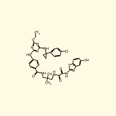 CC(C)(CNC(=O)C(=O)Nc1nc2cc(O)ccc2s1)CNC(=O)c1ccc(Nc2nc(NC3(c4ccc(Cl)cc4)CC3)nc(OCC(F)(F)F)n2)cc1